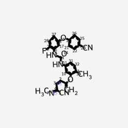 C=C(/C=C\C(C#N)=N/C)Oc1cc(NC(=O)Nc2cc(Oc3ccc(C#N)cc3)ccc2F)ccc1C